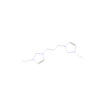 CN1C=CN(CCCN2C=CN(C)C2)C1